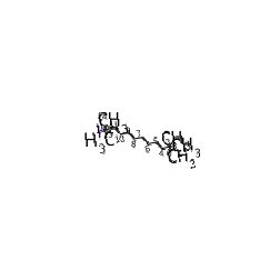 CC(C)(C)/C=C/C=C/C=C/C=C/C(C)(C)I